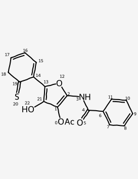 CC(=O)Oc1c(NC(=O)c2ccccc2)oc(C2=CC=CCC2=S)c1O